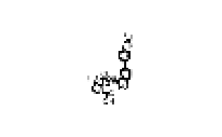 CC(C)(C)[C@]1(COc2noc3ccc(-c4ccc(OC(F)(F)F)cc4)cc23)CCCN1C(=O)O